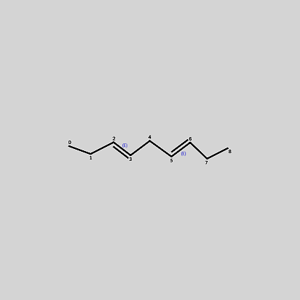 CC/C=C/C/C=C/CC